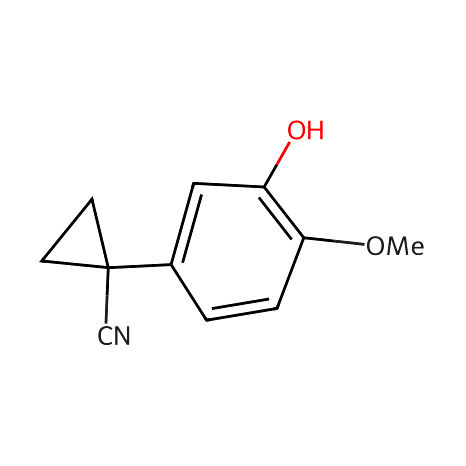 COc1ccc(C2(C#N)CC2)cc1O